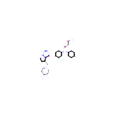 NC(=O)CC(=O)N(c1ccc(F)cc1)c1ccc(Oc2ncnn3ccc(CN4CCC(N)CC4)c23)c(F)c1